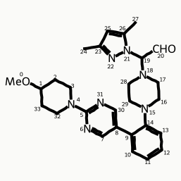 COC1CCN(c2ncc(-c3ccccc3N3CCN(C(C=O)n4nc(C)cc4C)CC3)cn2)CC1